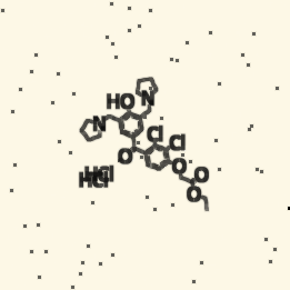 CCOC(=O)COc1ccc(C(=O)c2cc(CN3CCCC3)c(O)c(CN3CCCC3)c2)c(Cl)c1Cl.Cl.Cl